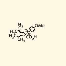 COc1ccc(S(=O)(=O)C(CC=C(C)C)(CC=C(C)C)C(=O)O)cc1